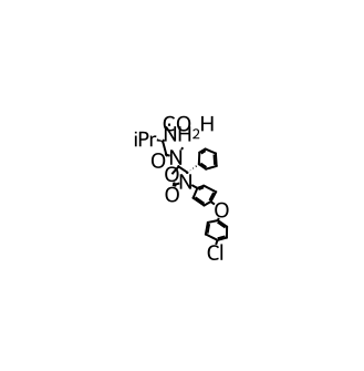 CC(C)[C@@H](NC(=O)O)C(=O)N(C)[C@H]1OC(=O)N(c2ccc(Oc3ccc(Cl)cc3)cc2)[C@H]1c1ccccc1